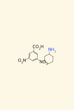 NC1CCCCC1.O=C(O)c1cc([N+](=O)[O-])cc([N+](=O)[O-])c1